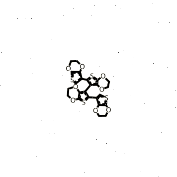 c1sc2c(c1-c1sc3c(c1-c1c(-c4csc5c4OCCO5)sc4c1OCCO4)OCCO3)OCCO2